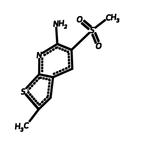 Cc1cc2cc(S(C)(=O)=O)c(N)nc2s1